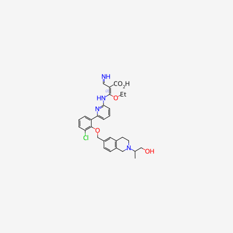 CCO/C(Nc1cccc(-c2cccc(Cl)c2OCc2ccc3c(c2)CCN(C(C)CO)C3)n1)=C(/C=N)C(=O)O